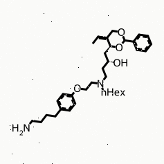 C/C=C1/COC(c2ccccc2)O[C@H]1C[C@H](O)CCN(CCCCCC)CCOc1ccc(CCCCN)cc1